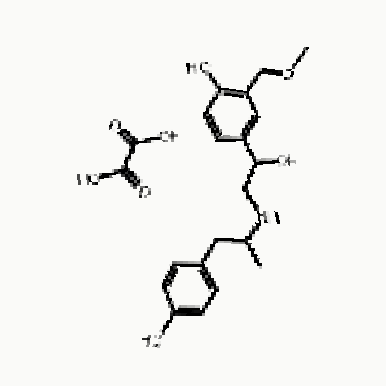 COCc1cc(C(O)CNC(C)Cc2ccc(O)cc2)ccc1O.O=C(O)C(=O)O